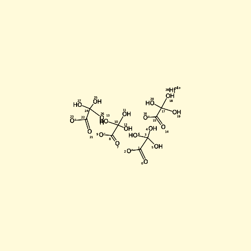 O=C([O-])C(O)(O)O.O=C([O-])C(O)(O)O.O=C([O-])C(O)(O)O.O=C([O-])C(O)(O)O.[Hf+4]